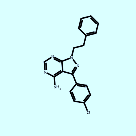 Nc1ncnc2c1c(-c1ccc(Cl)cc1)nn2CCc1ccccc1